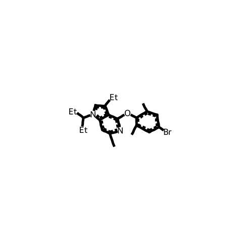 CCc1cn(C(CC)CC)c2cc(C)nc(Oc3c(C)cc(Br)cc3C)c12